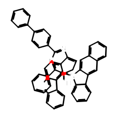 CC1C/C=C(c2ccc3oc4ccccc4c3c2-n2c3ccccc3c3cc4ccccc4cc32)/N=C(c2ccc(-c3ccccc3)cc2)\N=C/1c1ccccc1